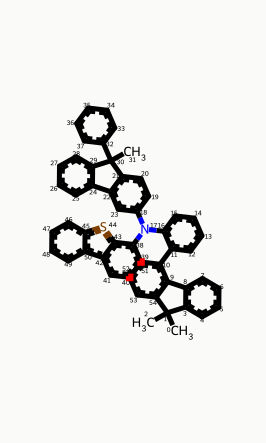 CC1(C)c2ccccc2-c2c(-c3ccccc3N(c3ccc4c(c3)-c3ccccc3C4(C)c3ccccc3)c3cccc4c3sc3ccccc34)cccc21